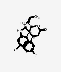 C/C=C(/C)[C@H]1NC(=O)C[C@@H](c2cccc(Cl)c2)[C@]12C(=O)Nc1cc(Cl)ccc12